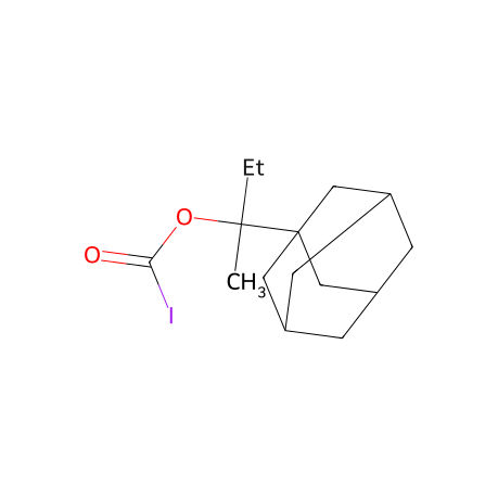 CCC(C)(OC(=O)I)C12CC3CC(CC(C3)C1)C2